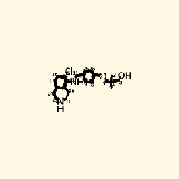 CC(C)(CO)COc1ccc(CNc2c(Cl)ccc3c2CCNCC3)cc1